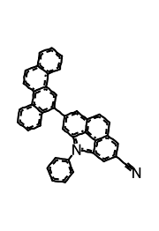 N#Cc1cc2ccc3cc(-c4cc5c6ccccc6ccc5c5ccccc45)cc4c3c2c(c1)n4-c1ccccc1